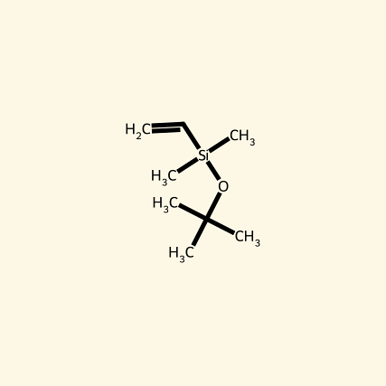 C=C[Si](C)(C)OC(C)(C)C